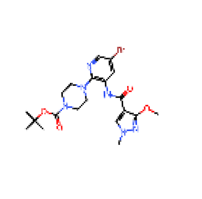 COc1nn(C)cc1C(=O)Nc1cc(Br)cnc1N1CCN(C(=O)OC(C)(C)C)CC1